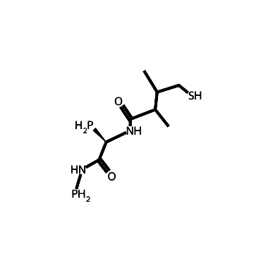 CC(CS)C(C)C(=O)N[C@H](P)C(=O)NP